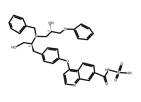 CCCS(=O)(=O)NC(=O)c1ccc2c(Oc3ccc(C[C@@H](CO)N(Cc4ccccc4)C[C@H](O)COc4ccccc4)cc3)ccnc2c1